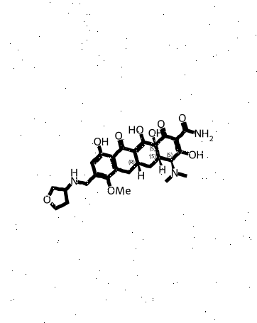 COc1c(CNC2CCOC2)cc(O)c2c1C[C@H]1C[C@H]3[C@H](N(C)C)C(O)=C(C(N)=O)C(=O)[C@@]3(O)C(O)=C1C2=O